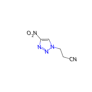 N#CCCn1cc([N+](=O)[O-])nn1